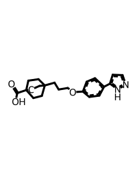 O=C(O)C12CCC(CCCOc3ccc(-c4ccn[nH]4)cc3)(CC1)CC2